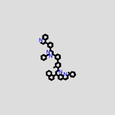 CC1C=C(c2cccc(-c3cc(-c4cccc(-c5ccnc6ccccc56)c4)nc(-c4ccccc4)n3)c2)C=CC1c1cc(-c2cccc3c2CCCC3)c2ccc3ccc(C4(C)C=CC=CC4)nc3c2n1